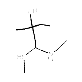 CNC(NC)C(C)(C)O